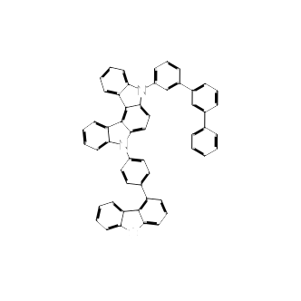 c1ccc(-c2cccc(-c3cccc(-n4c5ccccc5c5c6c7ccccc7n(-c7ccc(-c8cccc9oc%10ccccc%10c89)cc7)c6ccc54)c3)c2)cc1